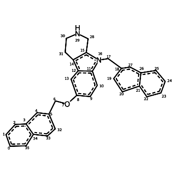 c1ccc2cc(COc3ccc4c(c3)c3c(n4Cc4ccc5ccccc5c4)CNCC3)ccc2c1